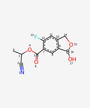 CC(C#N)OC(=O)c1cc2c(cc1F)COB2O